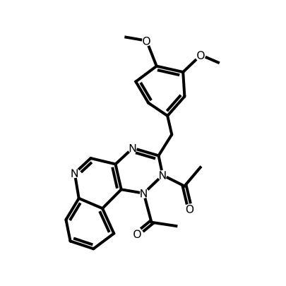 COc1ccc(CC2=Nc3cnc4ccccc4c3N(C(C)=O)N2C(C)=O)cc1OC